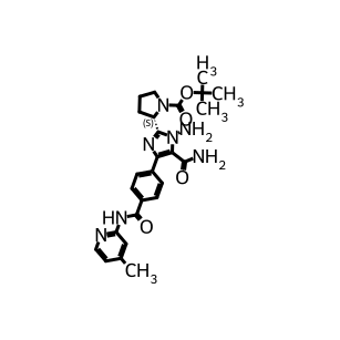 Cc1ccnc(NC(=O)c2ccc(-c3nc([C@@H]4CCCN4C(=O)OC(C)(C)C)n(N)c3C(N)=O)cc2)c1